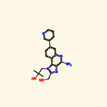 CC(C)(O)Cn1c(CO)nc2c(N)nc3cc(-c4cccnc4)ccc3c21